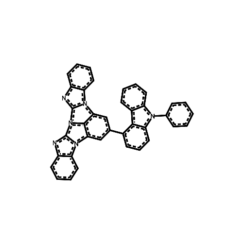 c1ccc(-n2c3ccccc3c3c(-c4cc5c6c(c4)n4c7ccccc7nc4n6c4nc6ccccc6n54)cccc32)cc1